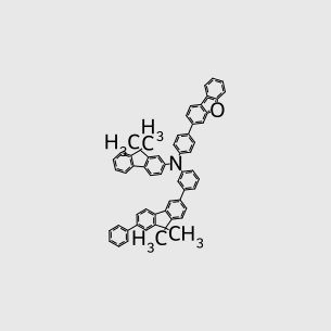 CC1(C)c2ccc(-c3cccc(N(c4ccc(-c5ccc6c(c5)oc5ccccc56)cc4)c4ccc5c(c4)C(C)(C)c4ccccc4-5)c3)cc2-c2ccc(-c3ccccc3)cc21